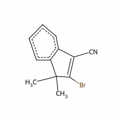 CC1(C)C(Br)=C(C#N)c2ccccc21